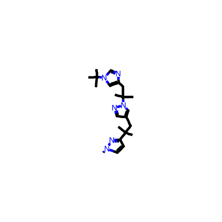 Cn1ccc(C(C)(C)Cc2cnn(C(C)(C)Cc3cn(C(C)(C)C)cn3)c2)n1